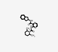 CC1CCCC(C)N1C(=O)Nc1nccnc1C(=O)NC1Cc2ccccc2C1